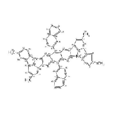 Cc1ccc2c(c1)c1cc(C)cc3c4cc5c(-c6ccc7ccccc7c6)c6cc7c(cc6c(-c6ccc8ccccc8c6)c5cc4n2c13)c1cc(C)cc2c3cc(C)ccc3n7c21